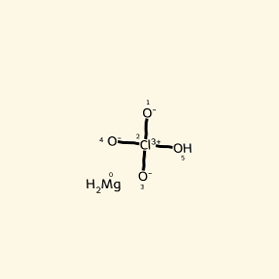 [MgH2].[O-][Cl+3]([O-])([O-])O